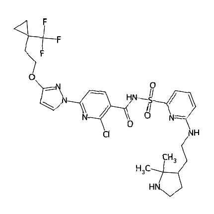 CC1(C)NCCC1CCNc1cccc(S(=O)(=O)NC(=O)c2ccc(-n3ccc(OCCC4(C(F)(F)F)CC4)n3)nc2Cl)n1